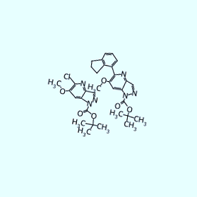 COc1cc2c(cnn2C(=O)OC(C)(C)C)nc1-c1cccc2c1CCC2.COc1cc2c(cnn2C(=O)OC(C)(C)C)nc1Cl